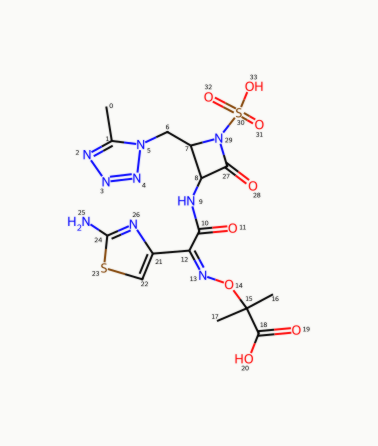 Cc1nnnn1CC1C(NC(=O)/C(=N\OC(C)(C)C(=O)O)c2csc(N)n2)C(=O)N1S(=O)(=O)O